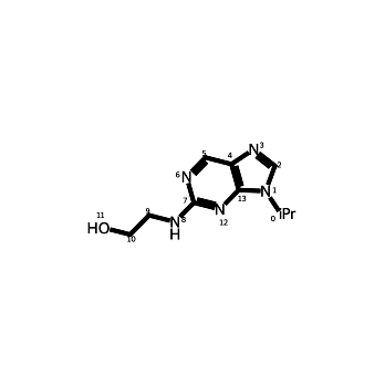 CC(C)n1cnc2cnc(NCCO)nc21